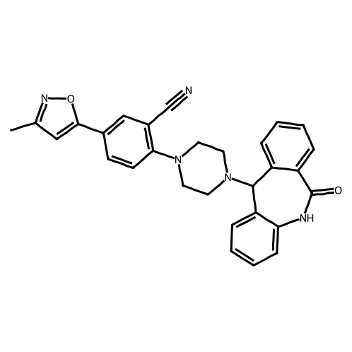 Cc1cc(-c2ccc(N3CCN(C4c5ccccc5NC(=O)c5ccccc54)CC3)c(C#N)c2)on1